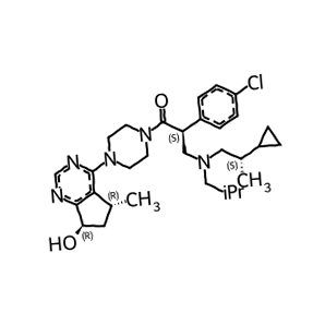 CC(C)CN(C[C@@H](C)C1CC1)C[C@@H](C(=O)N1CCN(c2ncnc3c2[C@H](C)C[C@H]3O)CC1)c1ccc(Cl)cc1